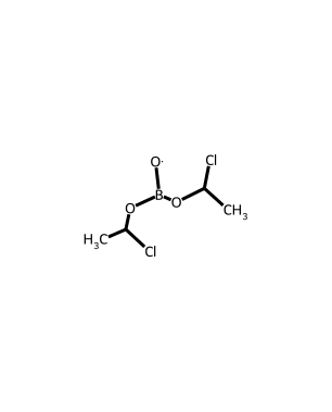 CC(Cl)OB([O])OC(C)Cl